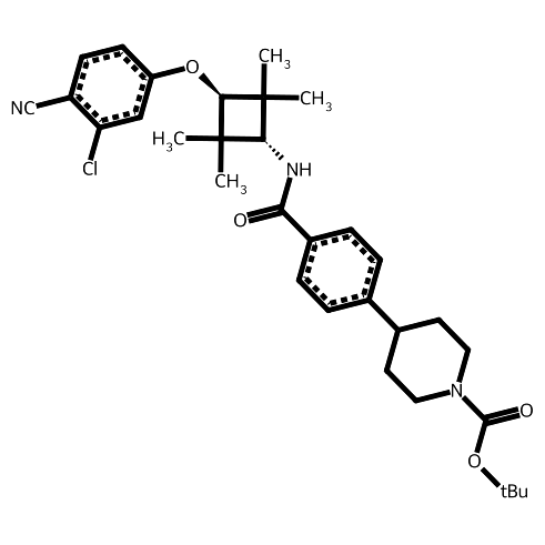 CC(C)(C)OC(=O)N1CCC(c2ccc(C(=O)N[C@H]3C(C)(C)[C@H](Oc4ccc(C#N)c(Cl)c4)C3(C)C)cc2)CC1